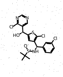 CC(C)(C)[S+]([O-])N[C@H](c1cccc(Cl)c1)c1cc([C@@H](O)c2cncnc2Cl)sc1Cl